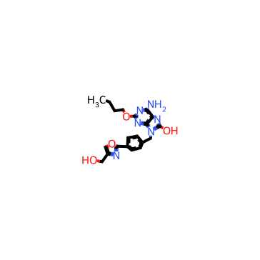 CCCCOc1nc(N)c2nc(O)n(Cc3ccc(-c4nc(CO)co4)cc3)c2n1